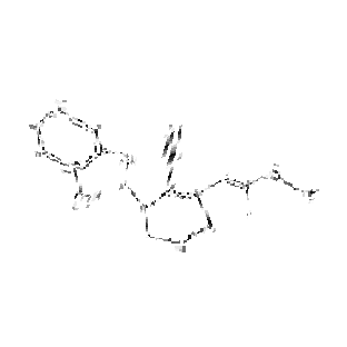 C#CC1=C(/C=C(\C)OCCC)CCCC1CNc1cnccc1C(=O)O